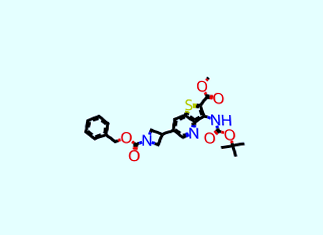 COC(=O)c1sc2cc(C3CN(C(=O)OCc4ccccc4)C3)cnc2c1NC(=O)OC(C)(C)C